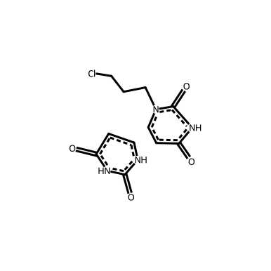 O=c1cc[nH]c(=O)[nH]1.O=c1ccn(CCCCl)c(=O)[nH]1